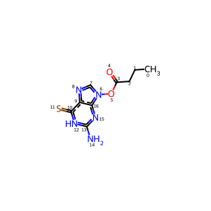 CCCC(=O)On1cnc2c(=S)[nH]c(N)nc21